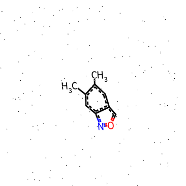 Cc1cc2conc2cc1C